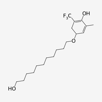 CC1=CC(OCCCCCCCCCCCO)CC(C(F)(F)F)=C1O